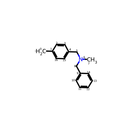 [CH2]c1ccc(CN(C)Cc2ccccc2)cc1